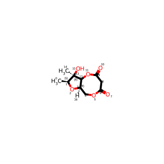 C[C@@H]1O[C@@H]2COC(=O)CC(=O)OC2[C@]1(C)O